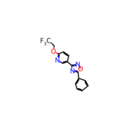 FC(F)(F)COc1ccc(-c2noc(-c3ccccc3)n2)cn1